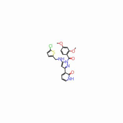 COc1ccc(C(=O)n2nc(-c3ccc[nH]c3=O)cc2NCc2ccc(Cl)s2)c(OC)c1